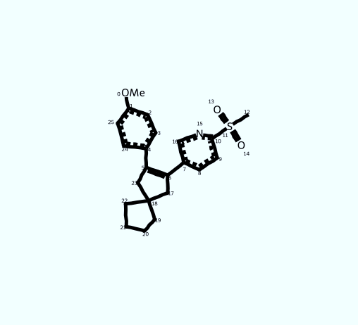 COc1ccc(C2=C(c3ccc(S(C)(=O)=O)nc3)CC3(CCCC3)C2)cc1